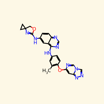 Cc1cc(Nc2ncnc3ccc(NC4=NC5(CC5)CO4)cc23)ccc1Oc1cc2nncn2cn1